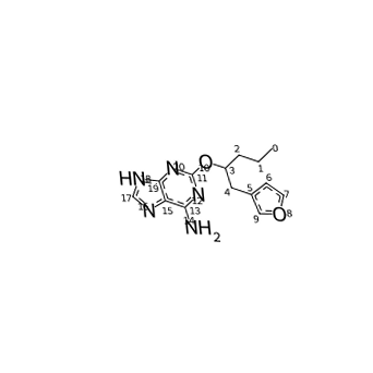 CCCC(Cc1ccoc1)Oc1nc(N)c2nc[nH]c2n1